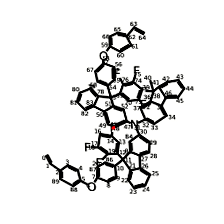 C=Cc1ccc(Oc2ccc(C3(c4cc(F)cc(F)c4F)c4ccccc4-c4ccc(N(c5ccc6c(c5)C(C)(C)c5ccccc5-6)c5ccc6c(c5)C(c5ccc(Oc7ccc(C=C)cc7)cc5)(c5cc(F)cc(F)c5F)c5ccccc5-6)cc43)cc2)cc1